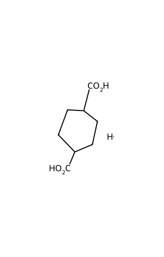 O=C(O)C1CCC(C(=O)O)CC1.[H]